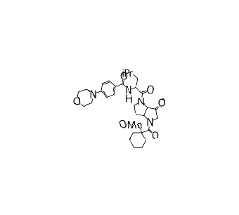 COC1(C(=O)N2CC(=O)C3C2CCN3C(=O)C(CC(C)C)NC(=O)c2ccc(N3CCOCC3)cc2)CCCCC1